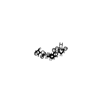 CC1COCC1OC(=O)NCc1ccc2c(c1)C(=O)N(C1CCC(=O)NC1=O)C2